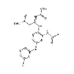 CCC(=O)Nc1cc(Sc2cccc(Cl)c2)ccc1NC(=NC(=O)OC)NC(=O)OC